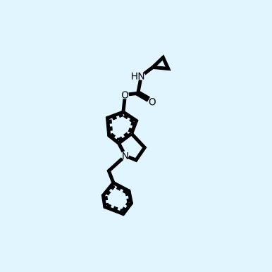 O=C(NC1CC1)Oc1ccc2c(c1)CCN2Cc1ccccc1